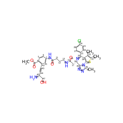 COC(=O)c1ccc(NC(=O)CCCNC(=O)C[C@@H]2N=C(c3ccc(Cl)cc3)c3c(sc(C)c3C)-n3c(C)nnc32)cc1C#CC(N)CO